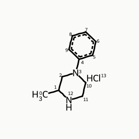 CC1CN(c2ccccc2)CCN1.Cl